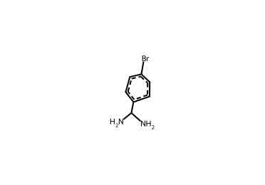 NC(N)c1ccc(Br)cc1